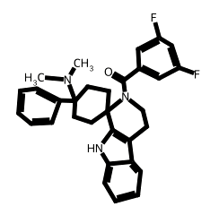 CN(C)C1(c2ccccc2)CCC2(CC1)c1[nH]c3ccccc3c1CCN2C(=O)c1cc(F)cc(F)c1